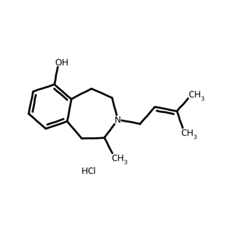 CC(C)=CCN1CCc2c(O)cccc2CC1C.Cl